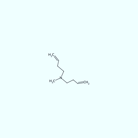 C=CCCN(C)CCC=C